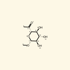 CO[C@@H]1O[C@H](C(C)=O)[C@@H](O)[C@H](O)[C@H]1O